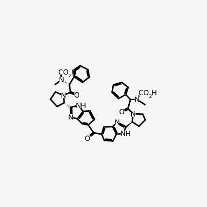 CN(C(=O)O)[C@@H](C(=O)N1CCC[C@H]1c1nc2cc(C(=O)c3ccc4[nH]c([C@@H]5CCCN5C(=O)[C@@H](c5ccccc5)N(C)C(=O)O)nc4c3)ccc2[nH]1)c1ccccc1